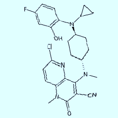 Cn1c(=O)c(C#N)c(N(C)[C@H]2CC[C@H](N(c3ccc(F)cc3O)C3CC3)CC2)c2nc(Cl)ccc21